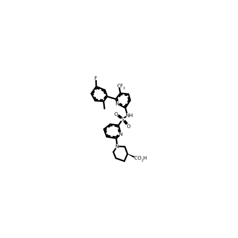 Cc1ccc(F)cc1-c1nc(NS(=O)(=O)c2cccc(N3CCC[C@H](C(=O)O)C3)n2)ccc1C(F)(F)F